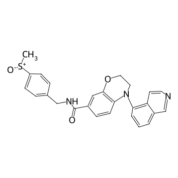 C[S+]([O-])c1ccc(CNC(=O)c2ccc3c(c2)OCCN3c2cccc3cnccc23)cc1